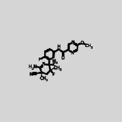 COc1cnc(C(=O)Nc2ccc(F)c([C@@]3(C)N=C(N)[C@](C)(C#N)C[C@]3(C)F)c2)cn1